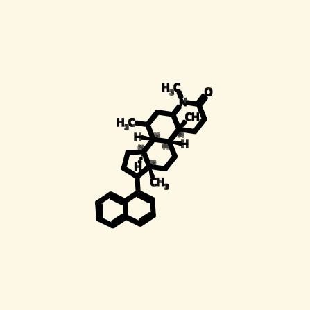 CC1CC2N(C)C(=O)CC[C@]2(C)[C@@H]2CC[C@]3(C)C(c4cccc5ccccc45)CC[C@H]3[C@H]12